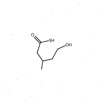 CC(CCO)CC(=O)S